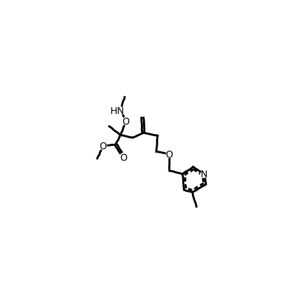 C=C(CCOCc1cncc(C)c1)CC(C)(ONC)C(=O)OC